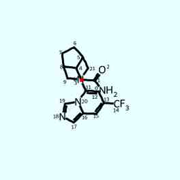 NC(=O)CC1C2CCC1CN(c1cc(C(F)(F)F)cc3cncn13)C2